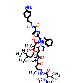 CCC(C)CC(OC)[C@@H](C(=O)N(C)C(=O)C[C@@H](C)CNC(=O)[C@H](C(C)C)N(C)C)[C@H]1CCN[C@@H]1C(C)(COC)C(=O)N[C@@H](Cc1ccccc1)c1nc(C(=O)NCCc2ccc(N)cc2)cs1